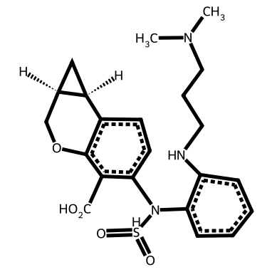 CN(C)CCCNc1ccccc1N(c1ccc2c(c1C(=O)O)OC[C@H]1C[C@@H]21)[SH](=O)=O